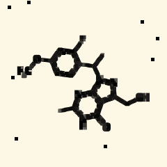 Cc1nc2c(c(CO)nn2C(C)c2ccc(OC(F)(F)F)cc2F)c(=O)[nH]1